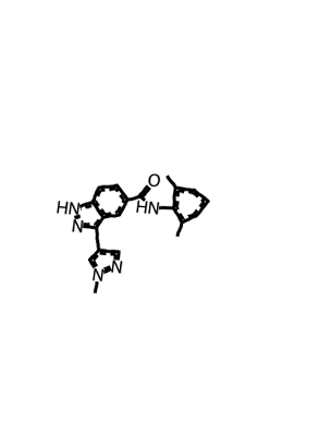 Cc1cccc(C)c1NC(=O)c1ccc2[nH]nc(-c3cnn(C)c3)c2c1